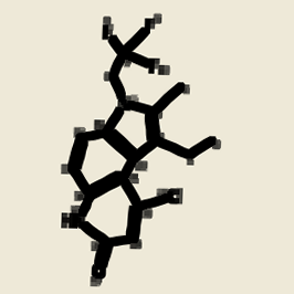 CCc1c(C)n(CC(F)(F)F)c2ccc3[nH]c(=O)cc(Cl)c3c12